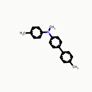 Cc1ccc(-c2ccc(N(C)c3ccc(C)cc3)cc2)cc1